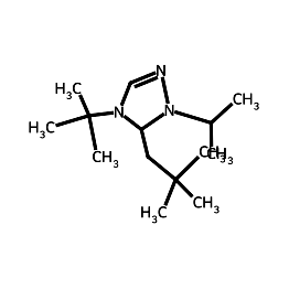 CC(C)N1N=CN(C(C)(C)C)C1CC(C)(C)C